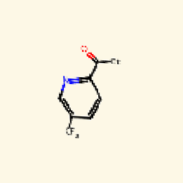 CCC(=O)c1ccc(C(F)(F)F)cn1